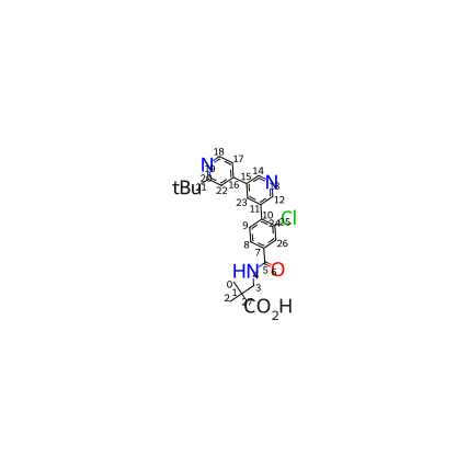 CC(C)(CNC(=O)c1ccc(-c2cncc(-c3ccnc(C(C)(C)C)c3)c2)c(Cl)c1)C(=O)O